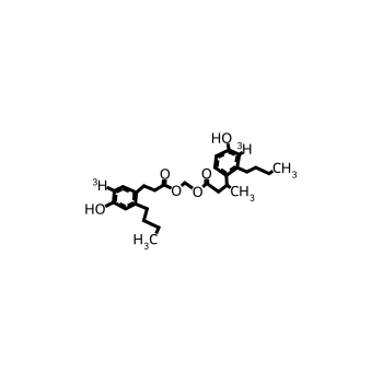 [3H]c1cc(CCC(=O)OCOC(=O)CC(C)c2ccc(O)c([3H])c2CCCC)c(CCCC)cc1O